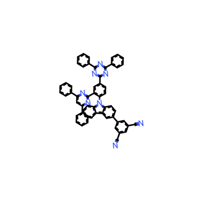 N#Cc1cc(C#N)cc(-c2ccc3c(c2)c2ccccc2n3-c2ccc(-c3nc(-c4ccccc4)nc(-c4ccccc4)n3)cc2-c2nc(-c3ccccc3)cc(-c3ccccc3)n2)c1